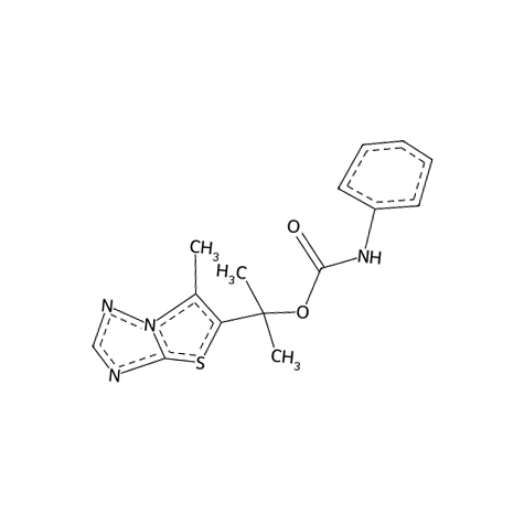 Cc1c(C(C)(C)OC(=O)Nc2ccccc2)sc2ncnn12